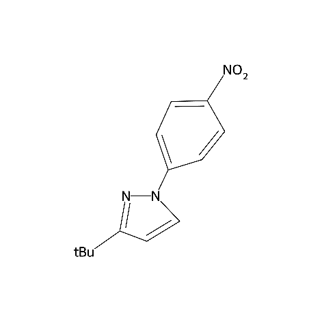 CC(C)(C)c1ccn(-c2ccc([N+](=O)[O-])cc2)n1